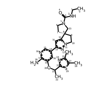 CCNC(=O)N1CC[C@@]2(CCn3nc(-c4cnc(N)c(OC(C)c5nc(C)c(C)s5)c4)cc32)C1